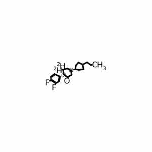 [2H]C1([2H])C[C@@H](C2CCC(CCC)CC2)CC(=O)[C@@H]1c1ccc(F)c(F)c1